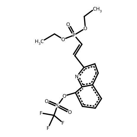 CCOP(=O)(/C=C/c1ccc2cccc(OS(=O)(=O)C(F)(F)F)c2n1)OCC